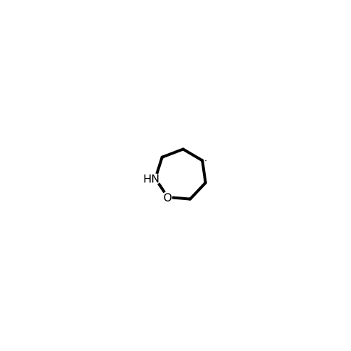 [CH]1CCNOCC1